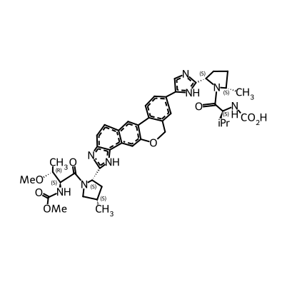 COC(=O)N[C@H](C(=O)N1C[C@@H](C)C[C@H]1c1nc2ccc3cc4c(cc3c2[nH]1)OCc1cc(-c2cnc([C@@H]3CC[C@H](C)N3C(=O)[C@@H](NC(=O)O)C(C)C)[nH]2)ccc1-4)[C@@H](C)OC